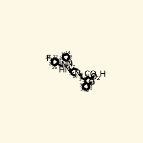 O=C(O)c1c(CCN2CCC(Nc3nc4ccccc4n3Cc3ccc(F)cc3)CC2)c2ccccc2oc1=O